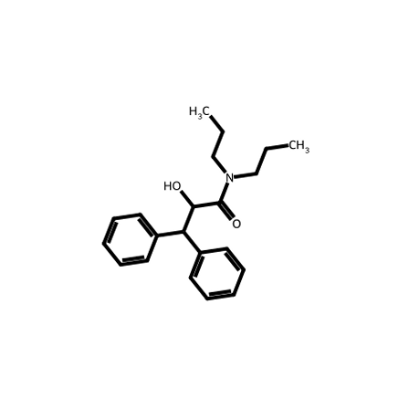 CCCN(CCC)C(=O)C(O)C(c1ccccc1)c1ccccc1